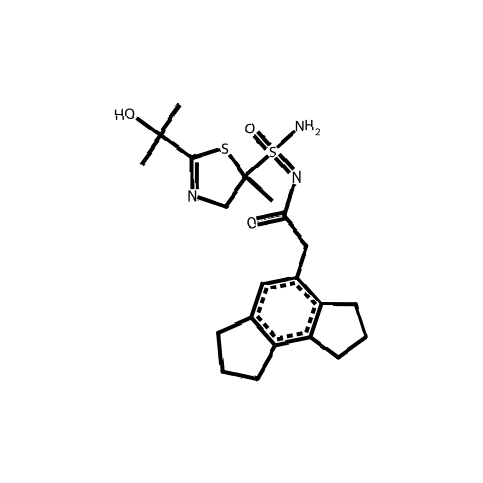 CC(C)(O)C1=NCC(C)(S(N)(=O)=NC(=O)Cc2cc3c(c4c2CCC4)CCC3)S1